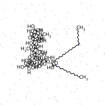 CCCCCCCC/C=C\CCCCCCCCCCCCCC(=O)N[C@@H](CO[C@@H]1OC(CO)[C@@H](O[C@@H]2OC(CO)[C@H](O[C@@H]3OC(CO)[C@H](O)[C@H](O[C@@H]4OC(CO)[C@H](O)[C@H](O[C@]5(C(=O)O)CC(O)[C@@H](NC(C)=O)C([C@H](O)[C@H](O)CO)O5)C4O)C3NC(C)=O)[C@H](O[C@]3(C(=O)O)CC(O)[C@@H](O)C([C@H](O)[C@H](O)CO)O3)C2O)[C@H](O)C1O)[C@H](O)/C=C/CCCCCCCCCCCCC